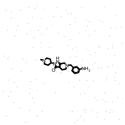 CN1CCC(n2[nH]c3c(c2=O)CCN(Cc2cccc(N)c2)C3)CC1